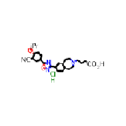 CC(C)Oc1ccc(-c2nc(-c3ccc4c(c3)CCN(CCCC(=O)O)CC4)no2)cc1C#N.Cl